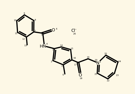 Cc1cc(NC(=O)c2ccccc2C)ccc1C(=O)C[n+]1ccccc1.[Cl-]